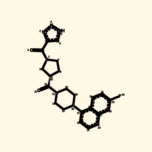 O=C(c1nn[nH]n1)N1CC[C@H](C(=O)N2CCN(c3ccnc4cc(F)ccc34)CC2)C1